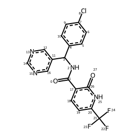 O=C(NC(c1ccc(Cl)cc1)c1cncnc1)c1ccc(C(F)(F)F)[nH]c1=O